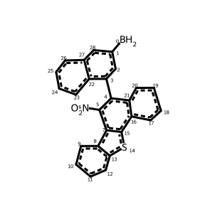 Bc1cc(-c2c([N+](=O)[O-])c3c4ccccc4sc3c3ccccc23)c2ccccc2c1